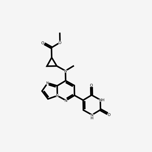 COC(=O)C1CC1N(C)c1cc(-c2c[nH]c(=O)[nH]c2=O)nn2ccnc12